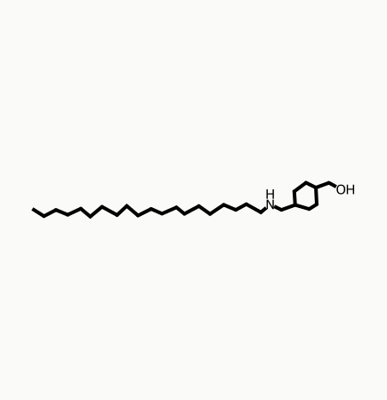 CCCCCCCCCCCCCCCCCCCCNCC1CCC(CO)CC1